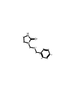 O=C1NCCN1CSCc1ccccc1